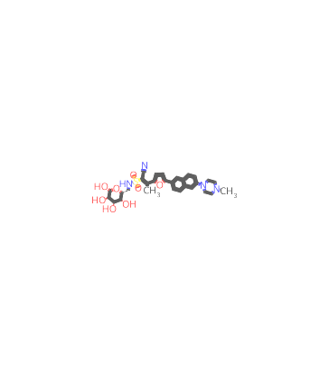 C/C(=C(/C#N)S(=O)(=O)NC[C@H]1OC(O)[C@H](O)[C@@H](O)[C@@H]1O)c1ccc(-c2ccc3cc(N4CCN(C)CC4)ccc3c2)o1